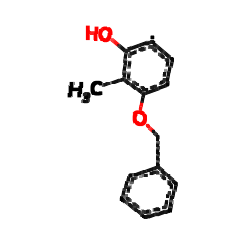 Cc1c(O)[c]ccc1OCc1ccccc1